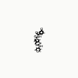 CC1(C)c2cnc(NC3CCOCC3)nc2CN1C(=O)NC(CO)c1cccc(Cl)c1